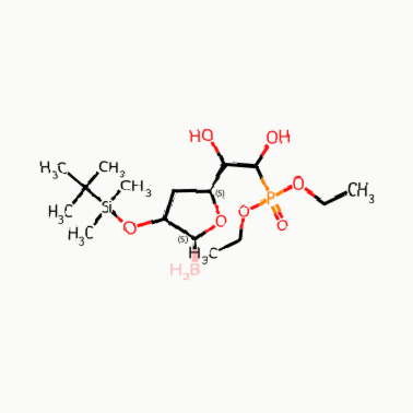 B[C@@H]1O[C@H](C(O)C(O)P(=O)(OCC)OCC)CC1O[Si](C)(C)C(C)(C)C